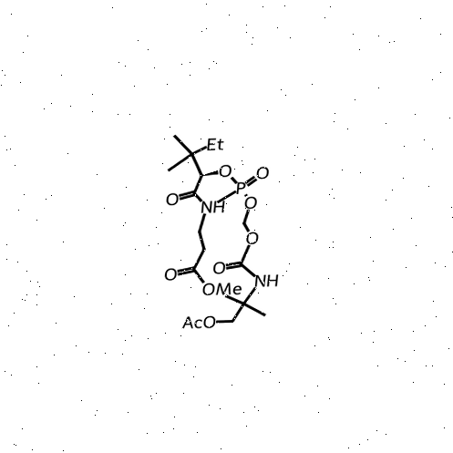 CCC(C)(C)[C@@H](OP(C)(=O)OCOC(=O)NC(C)(C)COC(C)=O)C(=O)NCCC(=O)OC